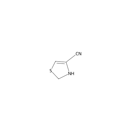 N#CC1=CSCN1